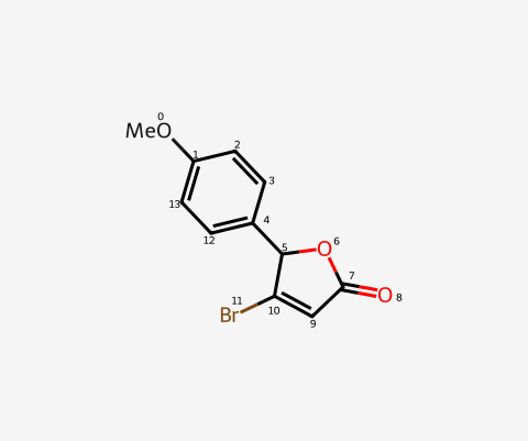 COc1ccc(C2OC(=O)C=C2Br)cc1